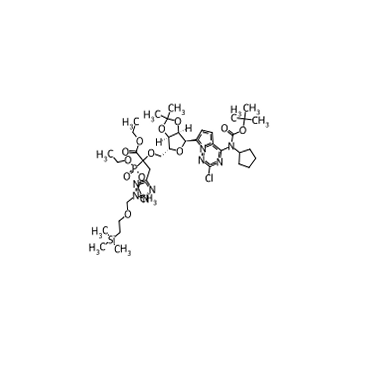 CCOC(=O)C(Cc1nnn(COCC[Si](C)(C)C)n1)(OC[C@H]1O[C@H](c2ccc3c(N(C(=O)OC(C)(C)C)C4CCCC4)nc(Cl)nn23)[C@@H]2OC(C)(C)O[C@@H]21)P(=O)(OCC)OCC